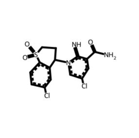 N=c1c(C(N)=O)cc(Cl)cn1C1CCS(=O)(=O)c2ccc(Cl)cc21